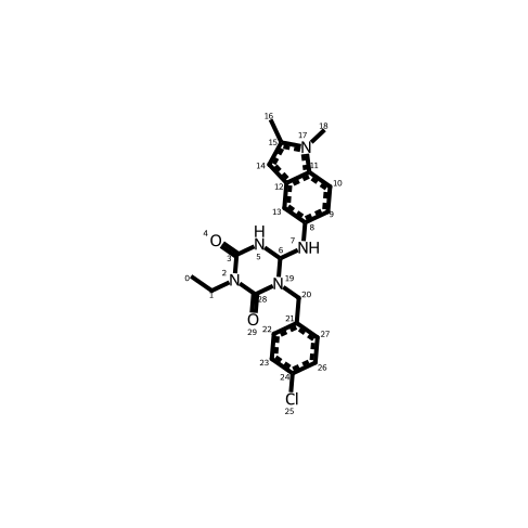 CCN1C(=O)NC(Nc2ccc3c(c2)cc(C)n3C)N(Cc2ccc(Cl)cc2)C1=O